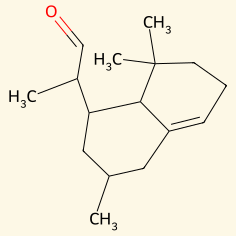 CC1CC2=CCCC(C)(C)C2C(C(C)C=O)C1